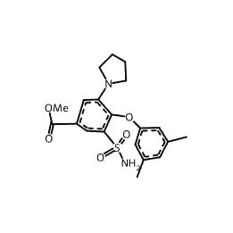 COC(=O)c1cc(N2CCCC2)c(Oc2cc(C)cc(C)c2)c(S(N)(=O)=O)c1